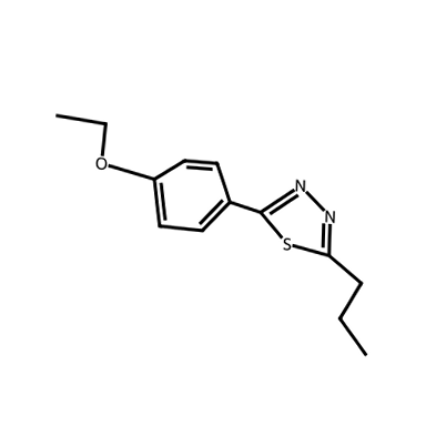 CCCc1nnc(-c2ccc(OCC)cc2)s1